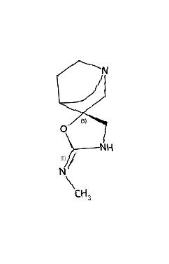 C/N=C1\NC[C@@]2(CN3CCC2CC3)O1